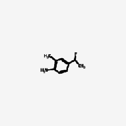 Cc1cc(C(C)F)ccc1N